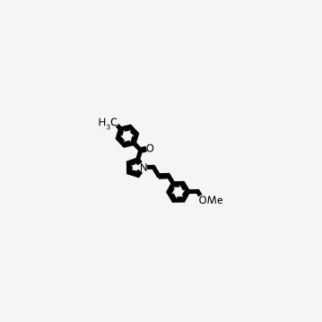 COCc1cccc(/C=C/Cn2cccc2C(=O)c2ccc(C)cc2)c1